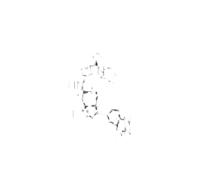 Cn1nnc2ccc(-c3c[nH]c4nc(N[C@H]5C[C@@](C)(C(=O)N6CCCC6)C5)ncc34)cc21